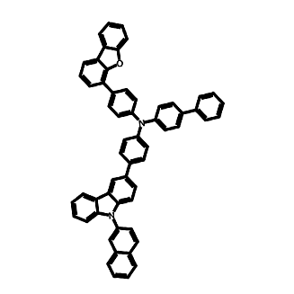 c1ccc(-c2ccc(N(c3ccc(-c4ccc5c(c4)c4ccccc4n5-c4ccc5ccccc5c4)cc3)c3ccc(-c4cccc5c4oc4ccccc45)cc3)cc2)cc1